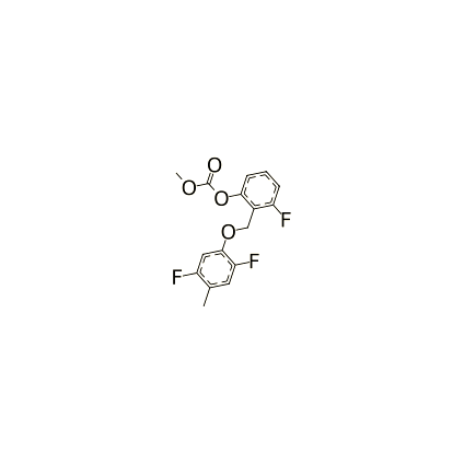 COC(=O)Oc1cccc(F)c1COc1cc(F)c(C)cc1F